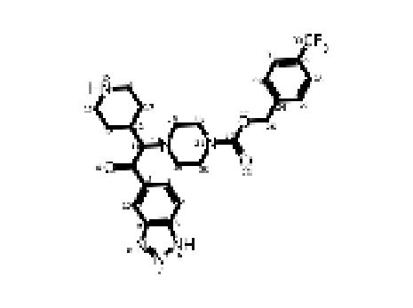 O=C(c1ccc2[nH]nnc2c1)C(C1CCNCC1)N1CCN(C(=O)OCc2ccc(C(F)(F)F)cc2)CC1